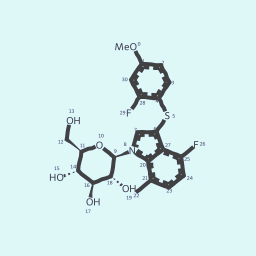 COc1ccc(Sc2cn([C@@H]3O[C@H](CO)[C@@H](O)[C@H](O)[C@H]3O)c3c(C)ccc(F)c23)c(F)c1